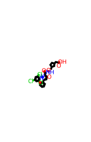 O=C(O)CC1CCC(CONC(=O)c2nn(-c3c(Cl)cc(Cl)cc3Cl)c(-c3ccccc3)cc2=O)C1